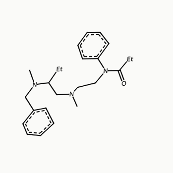 CCC(=O)N(CCN(C)CC(CC)N(C)Cc1ccccc1)c1ccccc1